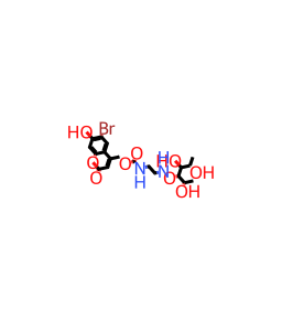 CC(O)C(O)C(ONCCNC(=O)OCc1cc(=O)oc2cc(O)c(Br)cc12)C(C)O